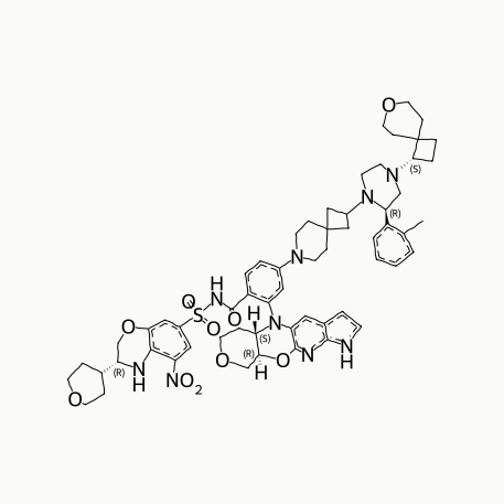 Cc1ccccc1[C@@H]1CN([C@H]2CCC23CCOCC3)CCN1C1CC2(CCN(c3ccc(C(=O)NS(=O)(=O)c4cc5c(c([N+](=O)[O-])c4)N[C@H](C4CCOCC4)CO5)c(N4c5cc6cc[nH]c6nc5O[C@H]5COCC[C@@H]54)c3)CC2)C1